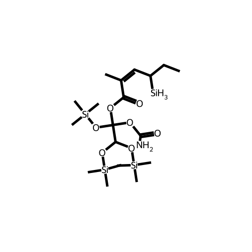 CCC([SiH3])C=C(C)C(=O)OC(OC(N)=O)(O[Si](C)(C)C)C(O[Si](C)(C)C)O[Si](C)(C)C